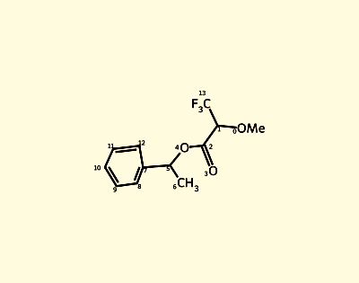 COC(C(=O)OC(C)c1ccccc1)C(F)(F)F